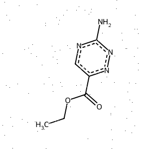 CCOC(=O)c1cnc(N)nn1